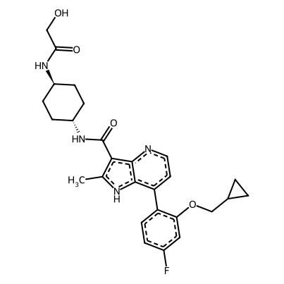 Cc1[nH]c2c(-c3ccc(F)cc3OCC3CC3)ccnc2c1C(=O)N[C@H]1CC[C@H](NC(=O)CO)CC1